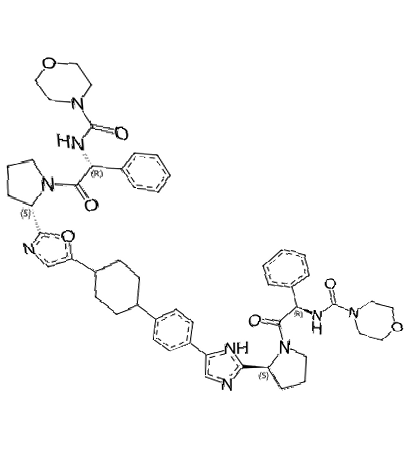 O=C(N[C@@H](C(=O)N1CCC[C@H]1c1ncc(-c2ccc(C3CCC(c4cnc([C@@H]5CCCN5C(=O)[C@H](NC(=O)N5CCOCC5)c5ccccc5)o4)CC3)cc2)[nH]1)c1ccccc1)N1CCOCC1